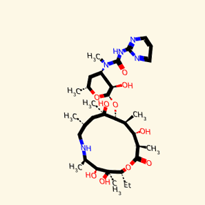 CC[C@H]1OC(=O)[C@H](C)[C@@H](O)[C@H](C)[C@@H](O[C@@H]2O[C@H](C)C[C@H](N(C)C(=O)Nc3ncccn3)[C@H]2O)[C@](C)(O)C[C@@H](C)CN[C@H](C)[C@@H](O)[C@]1(C)O